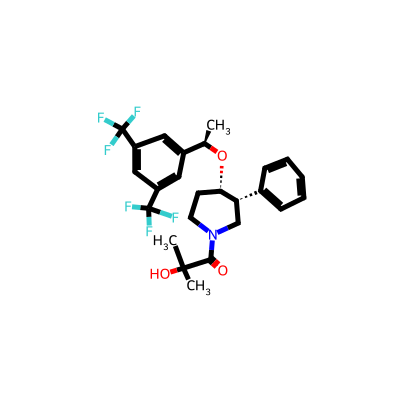 C[C@@H](O[C@H]1CCN(C(=O)C(C)(C)O)C[C@H]1c1ccccc1)c1cc(C(F)(F)F)cc(C(F)(F)F)c1